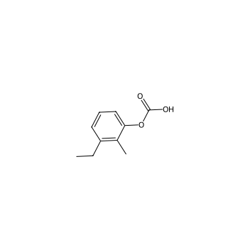 CCc1cccc(OC(=O)O)c1C